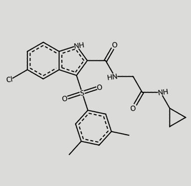 Cc1cc(C)cc(S(=O)(=O)c2c(C(=O)NCC(=O)NC3CC3)[nH]c3ccc(Cl)cc23)c1